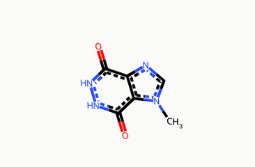 Cn1cnc2c(=O)[nH][nH]c(=O)c21